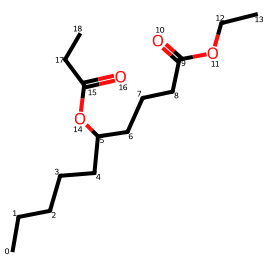 CCCCCC(CCCC(=O)OCC)OC(=O)CC